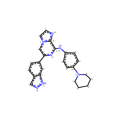 c1cn2cc(-c3ccc4cn[nH]c4c3)nc(Nc3ccc(N4CCCCC4)cc3)c2n1